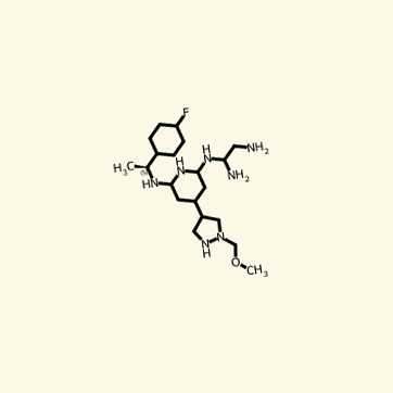 COCN1CC(C2CC(NC(N)CN)NC(N[C@@H](C)C3CCC(F)CC3)C2)CN1